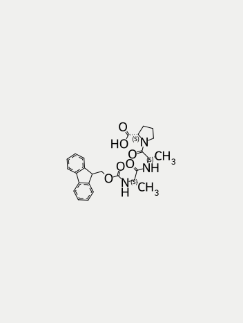 C[C@H](NC(=O)OCC1c2ccccc2-c2ccccc21)C(=O)N[C@@H](C)C(=O)N1CCC[C@H]1C(=O)O